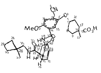 COc1cc(C#N)c(O[C@H]2CC[C@@](C)(C(=O)O)CC2)cc1C(=O)N[C@@H]1[C@H](C(=O)NCC2(C)CCC2)[C@@H]2C=C[C@H]1CC2